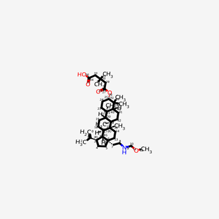 C=C(C)[C@@H]1CC[C@]2(CCNCOC)CC[C@]3(C)[C@H](CC[C@@H]4[C@@]5(C)CC[C@H](OC(=O)CC(C)(C)CC(=O)O)C(C)(C)[C@@H]5CC[C@]43C)[C@@H]12